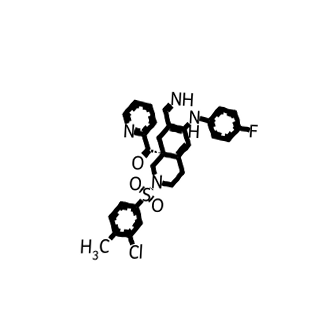 Cc1ccc(S(=O)(=O)N2CCC3=CC(Nc4ccc(F)cc4)=C(C=N)C[C@]3(C(=O)c3ccccn3)C2)cc1Cl